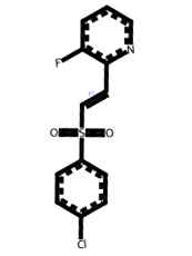 O=S(=O)(/C=C/c1ncccc1F)c1ccc(Cl)cc1